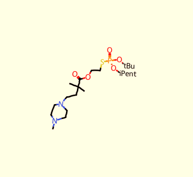 CCCC(C)OP(=O)(OC(C)(C)C)SCCOC(=O)C(C)(C)CCN1CCN(C)CC1